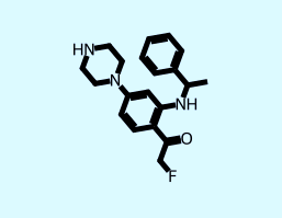 CC(Nc1cc(N2CCNCC2)ccc1C(=O)CF)c1ccccc1